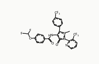 Cn1c(-c2ccc(C(F)(F)F)cc2)c(NC(=O)c2ccc(OC(F)F)cc2)c(=O)n1-c1ncccc1C(F)(F)F